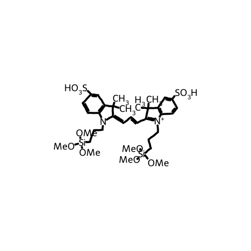 CO[Si](CCCN1/C(=C/C=C/C2=[N+](CCC[Si](OC)(OC)OC)c3ccc(S(=O)(=O)O)cc3C2(C)C)C(C)(C)c2cc(S(=O)(=O)O)ccc21)(OC)OC